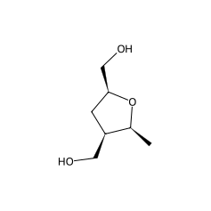 C[C@@H]1O[C@H](CO)C[C@@H]1CO